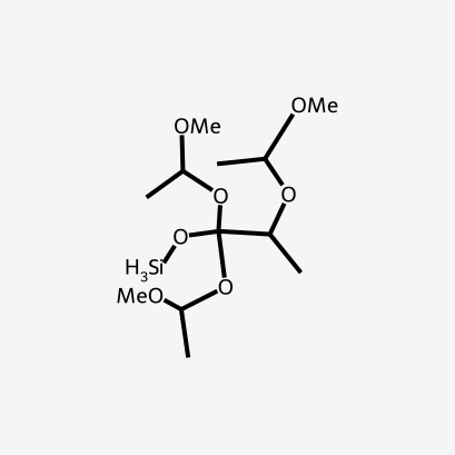 COC(C)OC(C)C(O[SiH3])(OC(C)OC)OC(C)OC